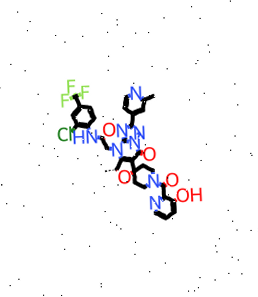 Cc1cc(-c2nc3n(CC(=O)Nc4ccc(C(F)(F)F)cc4Cl)c4c(c(=O)n3n2)C2(CCN(C(=O)c3ncccc3O)CC2)O[C@@H]4C)ccn1